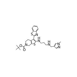 Cn1cc(CNCCCNc2sc3c(c2-c2nc4ccccc4s2)CCN(C(=O)OC(C)(C)C)C3)cn1